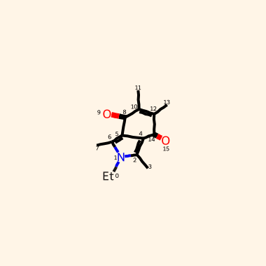 CCn1c(C)c2c(c1C)C(=O)C(C)=C(C)C2=O